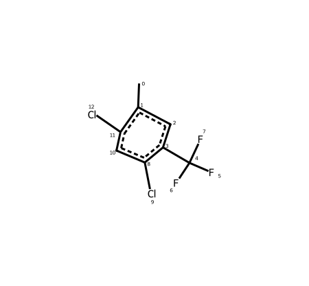 Cc1cc(C(F)(F)F)c(Cl)cc1Cl